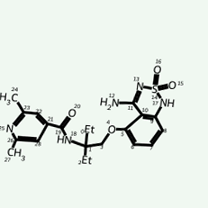 CCC(CC)(COc1cccc2c1C(N)=NS(=O)(=O)N2)NC(=O)c1cc(C)nc(C)c1